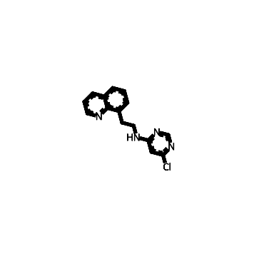 Clc1cc(NCCc2cccc3cccnc23)ncn1